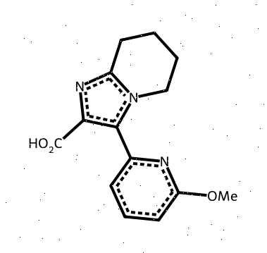 COc1cccc(-c2c(C(=O)O)nc3n2CCCC3)n1